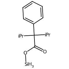 CC(C)C(C(=O)O[SiH3])(c1ccccc1)C(C)C